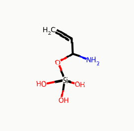 C=CC(N)O[Si](O)(O)O